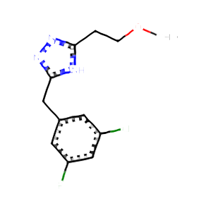 O=COCCc1nnc(Cc2cc(F)cc(Cl)c2)[nH]1